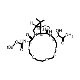 CC(C)(C)OC(=O)N[C@H]1CCCCCCCCCC[C@@H](C(O)C(N)=O)NC(=O)[C@@H]2[C@@H]3[C@H](CN2C1=O)C3(C)C